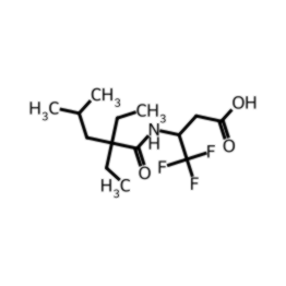 CCC(CC)(CC(C)C)C(=O)NC(CC(=O)O)C(F)(F)F